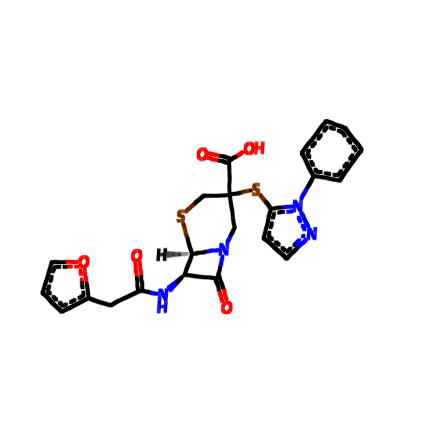 O=C(Cc1ccco1)N[C@@H]1C(=O)N2CC(Sc3ccnn3-c3ccccc3)(C(=O)O)CS[C@H]12